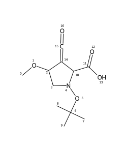 COC1CN(OC(C)(C)C)C(C(=O)O)C1=C=O